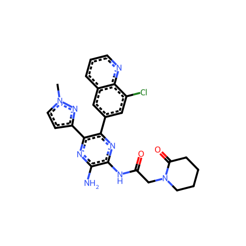 Cn1ccc(-c2nc(N)c(NC(=O)CN3CCCCC3=O)nc2-c2cc(Cl)c3ncccc3c2)n1